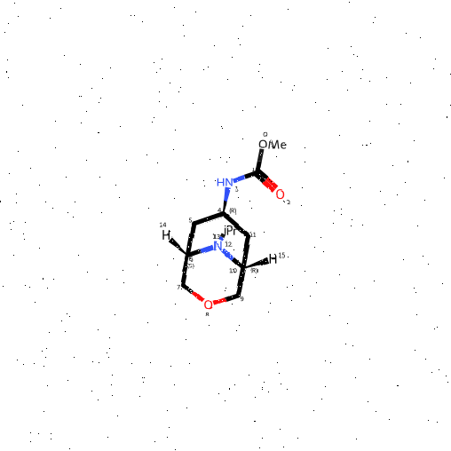 COC(=O)N[C@@H]1C[C@H]2COC[C@@H](C1)N2C(C)C